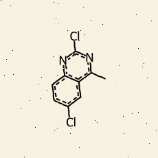 Cc1nc(Cl)nc2ccc(Cl)cc12